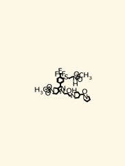 CS(=O)(=O)NCCSc1cc(-c2nn(CC(O)CN3CCC(C(=O)N4CCCC4)CC3)c3c2CN(S(C)(=O)=O)CC3)ccc1C(F)(F)F